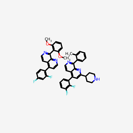 COc1cccc(OC)c1-c1nccc2c(-c3ccc(F)cc3F)ccnc12.Cc1ccccc1-c1nccc2c(-c3cccc(F)c3F)cc(C3CCNCC3)nc12